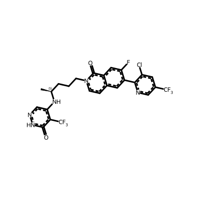 C[C@@H](CCCn1ccc2cc(-c3ncc(C(F)(F)F)cc3Cl)c(F)cc2c1=O)Nc1cn[nH]c(=O)c1C(F)(F)F